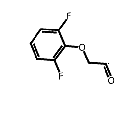 O=[C]COc1c(F)cccc1F